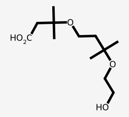 CC(C)(CCOC(C)(C)CC(=O)O)OCCO